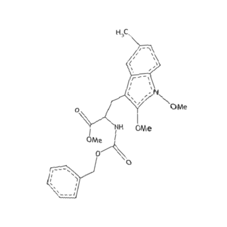 COC(=O)C(Cc1c(OC)n(OC)c2ccc(C)cc12)NC(=O)OCc1ccccc1